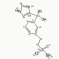 CCC(O)(c1cccc(CCS(N)(=O)=O)c1)c1c[nH]cn1